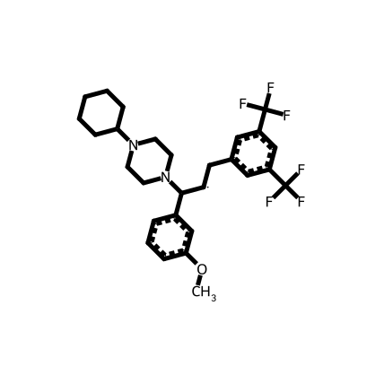 COc1cccc(C([CH]Cc2cc(C(F)(F)F)cc(C(F)(F)F)c2)N2CCN(C3CCCCC3)CC2)c1